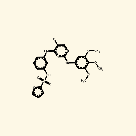 COc1cc(Nc2ncc(F)c(Nc3cccc(NS(=O)(=O)c4cccs4)c3)n2)cc(OC)c1OC